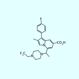 Cc1cn2c(C(C)N3CCN(CC(F)(F)F)CC3)cc(C(=O)O)cc2c1-c1ccc(F)cc1